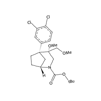 COC[C@@]1(OC)CN(C(=O)OC(C)(C)C)[C@@H]2CC[C@]1(c1ccc(Cl)c(Cl)c1)C2